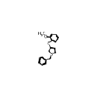 COc1ccccc1OC1CCN(Cc2ccccc2)C1